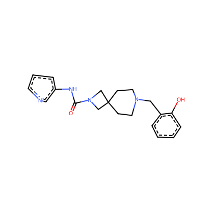 O=C(Nc1cccnc1)N1CC2(CCN(Cc3ccccc3O)CC2)C1